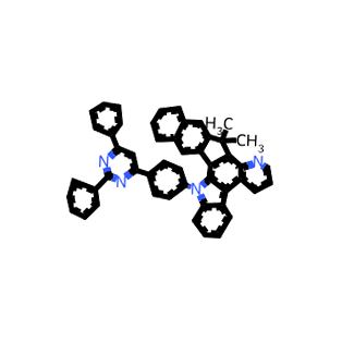 CC1(C)c2cc3ccccc3cc2-c2c1c1ncccc1c1c3ccccc3n(-c3ccc(-c4cc(-c5ccccc5)nc(-c5ccccc5)n4)cc3)c21